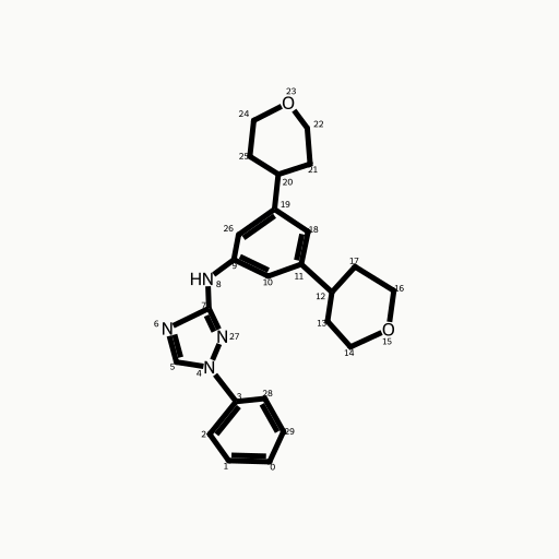 c1ccc(-n2cnc(Nc3cc(C4CCOCC4)cc(C4CCOCC4)c3)n2)cc1